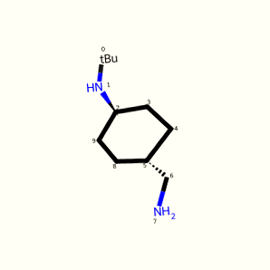 CC(C)(C)N[C@H]1CC[C@H](CN)CC1